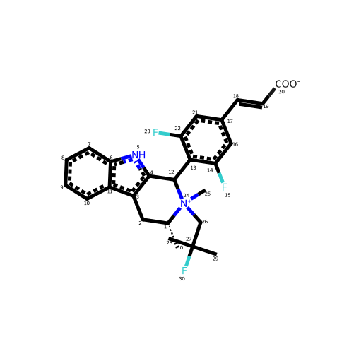 C[C@@H]1Cc2c([nH]c3ccccc23)C(c2c(F)cc(/C=C/C(=O)[O-])cc2F)[N+]1(C)CC(C)(C)F